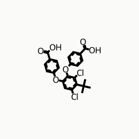 CC(C)(C)c1c(Cl)cc(Oc2ccc(C(=O)O)cc2)c(Oc2ccc(C(=O)O)cc2)c1Cl